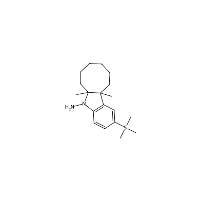 CC12CCCCCCC1(C)N(N)c1ccc([Si](C)(C)C)cc12